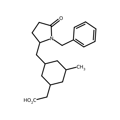 CC1CC(CC(=O)O)CC(CC2CCC(=O)N2Cc2ccccc2)C1